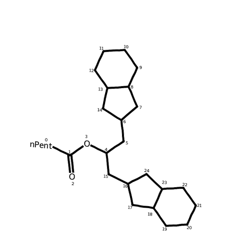 CCCCCC(=O)OC(CC1CC2CCCCC2C1)CC1CC2CCCCC2C1